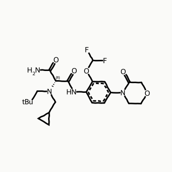 CC(C)(C)CN(CC1CC1)[C@H](C(N)=O)C(=O)Nc1ccc(N2CCOCC2=O)cc1OC(F)F